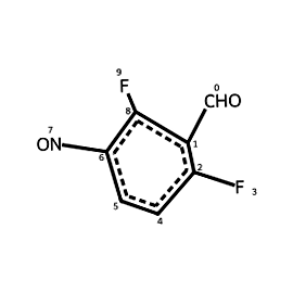 O=Cc1c(F)ccc(N=O)c1F